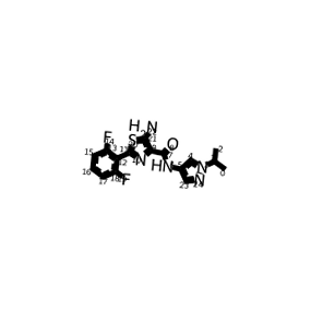 CC(C)n1cc(NC(=O)c2nc(-c3c(F)cccc3F)sc2N)cn1